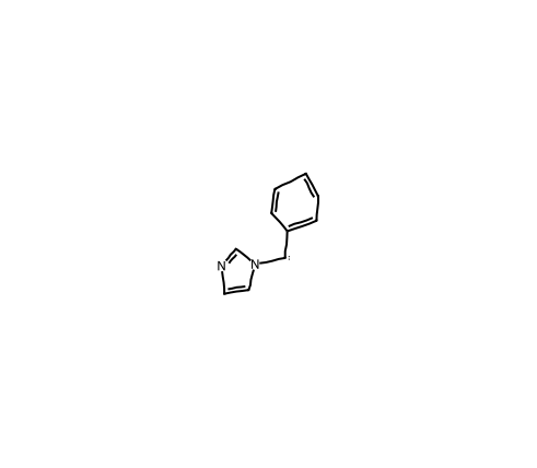 [C](c1ccccc1)n1ccnc1